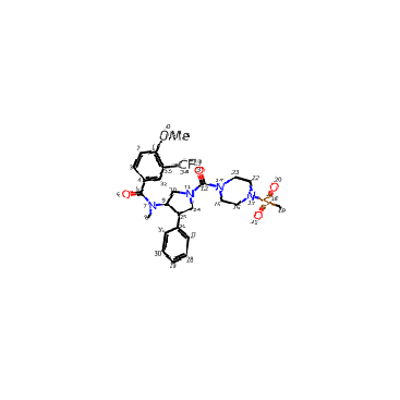 COc1ccc(C(=O)N(C)C2CN(C(=O)N3CCN(S(C)(=O)=O)CC3)CC2c2ccccc2)cc1C(F)(F)F